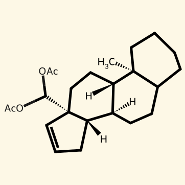 CC(=O)OC(OC(C)=O)[C@@]12C=CC[C@H]1[C@@H]1CCC3CCCC[C@]3(C)[C@H]1CC2